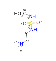 CN(C)CCNS(=O)(=O)NC(=O)O